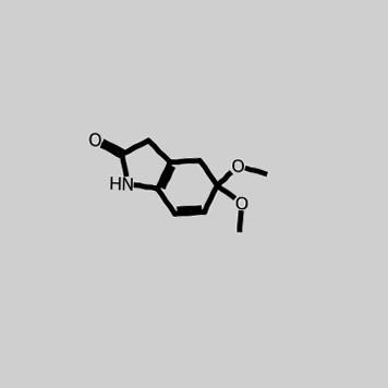 COC1(OC)C=CC2=C(CC(=O)N2)C1